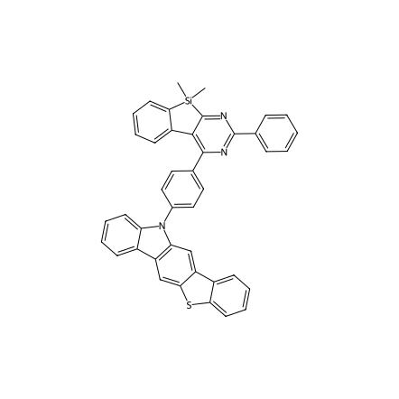 C[Si]1(C)c2ccccc2-c2c(-c3ccc(-n4c5ccccc5c5cc6sc7ccccc7c6cc54)cc3)nc(-c3ccccc3)nc21